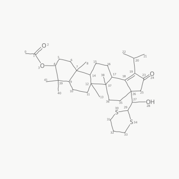 CC(=O)OC1CCC2(C)C(CCC3(C)C2CCC2C4=C(C(C)C)C(=O)CC4(C(O)C4SCCCS4)CCC23C)C1(C)C